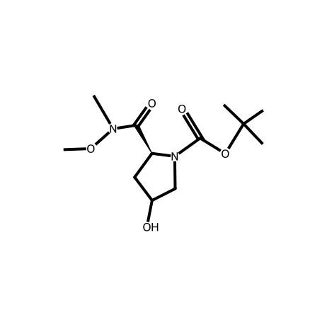 CON(C)C(=O)[C@@H]1CC(O)CN1C(=O)OC(C)(C)C